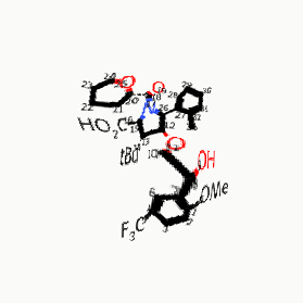 COc1ccc(C(F)(F)F)cc1C(O)CO[C@H]1[C@H](C(C)(C)C)[C@@H](C(=O)O)N(C(=O)[C@@H]2CCCCO2)[C@H]1c1ccccc1C